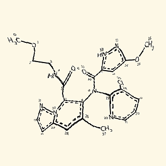 COCCNC(=O)c1c(N(C(=O)c2cc(OC)n[nH]2)c2ncccc2Cl)c(C)cc2ccnn12